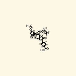 CC(=O)OC(F)(F)F.CCOC1=CC2(Br)CC(OCC)=C1C2N1CCC2(CC1)CC(=O)N(c1ccc(C(=O)O)cc1)C2